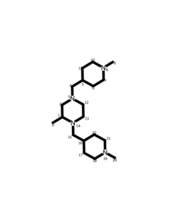 CC1CN(CC2CCN(C)CC2)CCN1CC1CCN(C)CC1